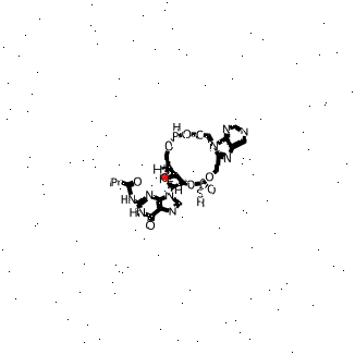 CC(C)C(=O)Nc1nc2c(ncn2[C@@H]2O[C@@H]3COPOCCn4c(nc5cncnc54)COP(=O)(S)O[C@@H]2C3(F)F)c(=O)[nH]1